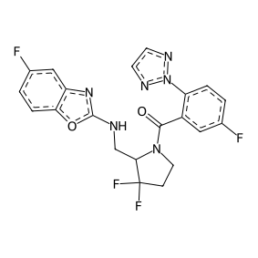 O=C(c1cc(F)ccc1-n1nccn1)N1CCC(F)(F)C1CNc1nc2cc(F)ccc2o1